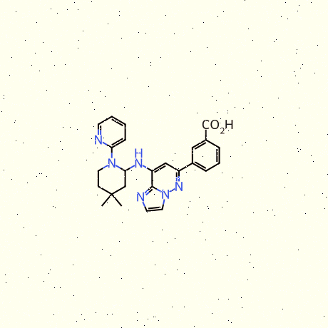 CC1(C)CCN(c2ccccn2)C(Nc2cc(-c3cccc(C(=O)O)c3)nn3ccnc23)C1